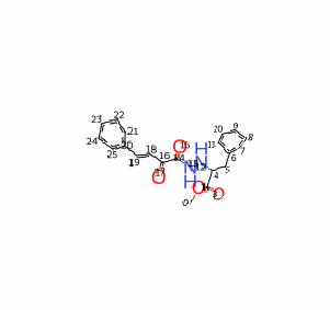 COC(=O)C(Cc1ccccc1)NNC(=O)C(=O)C=Cc1ccccc1